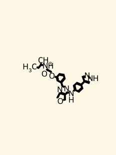 CCC(C)NC(=O)COc1cccc(-c2nc3c(c(Nc4ccc(-c5cn[nH]c5)cc4)n2)COC3)c1